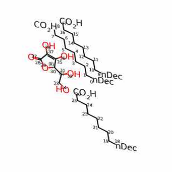 CCCCCCCCCCCCCCCCCC(=O)O.CCCCCCCCCCCCCCCCCC(=O)O.CCCCCCCCCCCCCCCCCC(=O)O.O=C1O[C@H]([C@@H](O)CO)C(O)=C1O